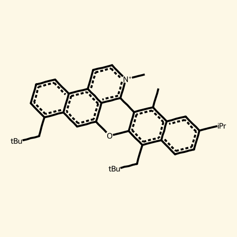 Cc1c2c(c(CC(C)(C)C)c3ccc(C(C)C)cc13)Oc1cc3c(CC(C)(C)C)cccc3c3cc[n+](C)c-2c13